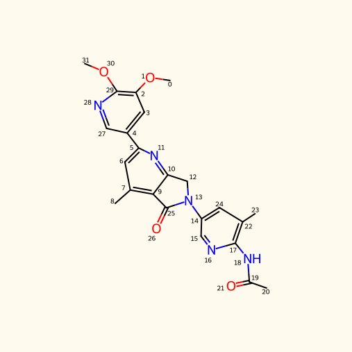 COc1cc(-c2cc(C)c3c(n2)CN(c2cnc(NC(C)=O)c(C)c2)C3=O)cnc1OC